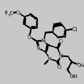 COC(CO)Cn1c(=O)c2c(nc(Oc3cccc(OC(F)(F)F)c3)n2CC2C#CC(Cl)=CC2)n(C)c1=O